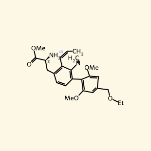 C=Nc1c(-c2c(OC)cc(COCC)cc2OC)ccc(C[C@H](N)C(=O)OC)c1/C=C\C